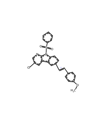 COc1ccc(/C=C/c2ccc3c(c2)c2cc(Cl)cnc2n3S(=O)(=O)c2ccccc2)cc1